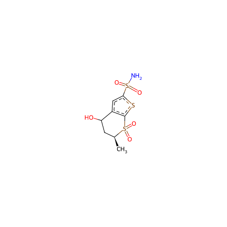 C[C@H]1CC(O)c2cc(S(N)(=O)=O)sc2S1(=O)=O